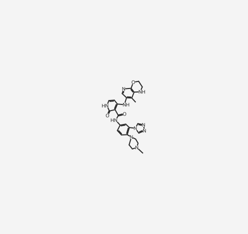 Cc1c(Nc2cc[nH]c(=O)c2C(=O)Nc2ccc(N3CCN(C)CC3)c(-n3cnnc3)c2)cnc2c1NCCO2